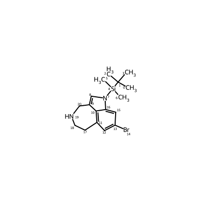 CC(C)(C)[Si](C)(C)n1cc2c3c(cc(Br)cc31)CCNC2